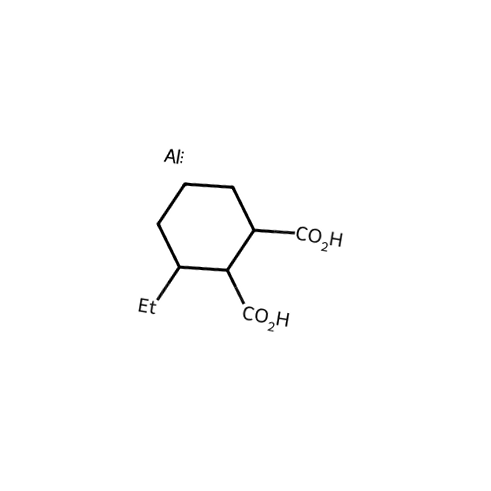 CCC1CCCC(C(=O)O)C1C(=O)O.[Al]